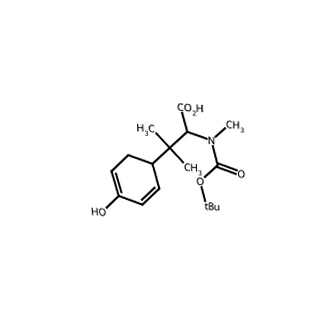 CN(C(=O)OC(C)(C)C)C(C(=O)O)C(C)(C)C1C=CC(O)=CC1